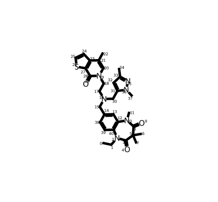 CCN1C(=O)C(C)(C)C(=O)N(C)c2cc(CN(CCn3cc(C)c4ccsc4c3=O)Cc3cc(C)nn3C)ccc21